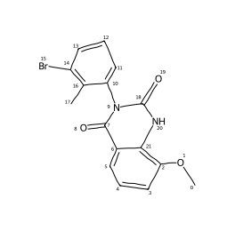 COc1cccc2c(=O)n(-c3cccc(Br)c3C)c(=O)[nH]c12